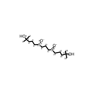 CC(C)(O)CCC[S+]([O-])CCC[S+]([O-])CCCC(C)(C)O